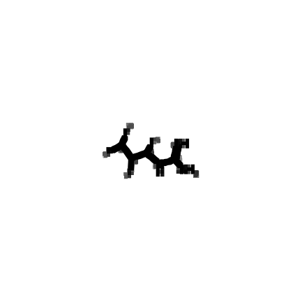 N=C(N)NC(F)C(F)C(F)F